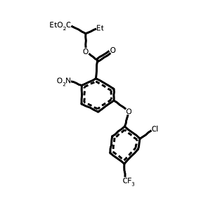 CCOC(=O)C(CC)OC(=O)c1cc(Oc2ccc(C(F)(F)F)cc2Cl)ccc1[N+](=O)[O-]